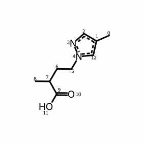 Cc1cnn(CCC(C)C(=O)O)c1